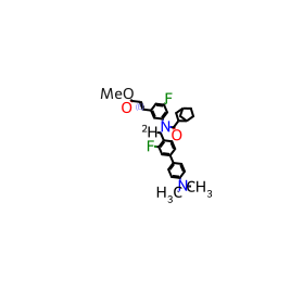 [2H]C(c1ccc(-c2ccc(N(C)C)cc2)cc1F)N(C(=O)C1CC2CCC1C2)c1cc(F)cc(/C=C/C(=O)OC)c1